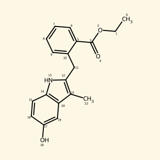 CCOC(=O)c1ccccc1Cc1[nH]c2ccc(O)cc2c1C